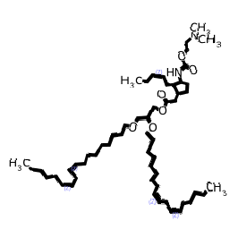 CC/C=C\CC1C(CC(=O)OCC(COCCCCCCCC/C=C\C/C=C\CCCCC)OCCCCCCCC/C=C\C/C=C\CCCCC)CCC1NC(=O)OCCN(C)C